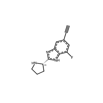 C#Cc1cc(F)c2[nH]c([C@@H]3CCCN3)nc2c1